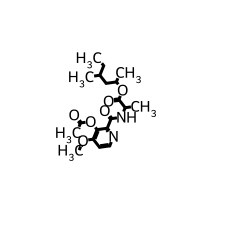 CCC(C)CC(C)OC(=O)C(C)NC(=O)c1nccc(OC)c1OC(C)=O